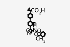 CC(OC(=O)Nc1cnoc1-c1ccc(-c2ccc(C3(C(=O)O)CC3)cc2)c2c1CC2)c1ccccc1